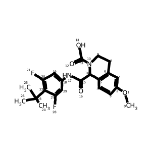 COc1ccc2c(c1)CCN(C(=O)O)C2C(=O)Nc1cc(F)c(C(C)(C)C)c(F)c1